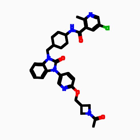 CC(=O)N1CC(COc2ccc(-n3c(=O)n(CC4CCC(NC(=O)c5cc(Cl)cnc5C)CC4)c4ccccc43)cn2)C1